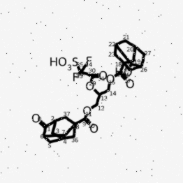 O=C1C2CC3CC1CC(C(=O)OCC(COC(=O)C14CC5CC(C1)C(O)C(C5)C4)OC(=O)C(F)(F)S(=O)(=O)O)(C3)C2